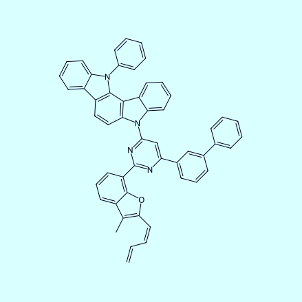 C=C/C=C\c1oc2c(-c3nc(-c4cccc(-c5ccccc5)c4)cc(-n4c5ccccc5c5c4ccc4c6ccccc6n(-c6ccccc6)c45)n3)cccc2c1C